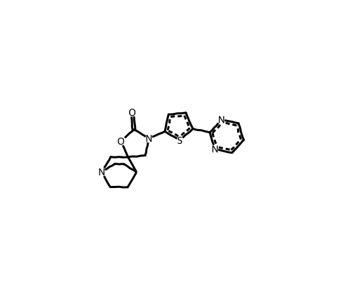 O=C1OC2(CN3CCC2CC3)CN1c1ccc(-c2ncccn2)s1